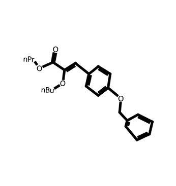 CCCCO/C(=C\c1ccc(OCc2ccccc2)cc1)C(=O)OCCC